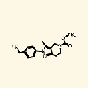 CCCCOC(=O)N1CCc2nn(-c3ccc(CN)cc3)c(C)c2C1